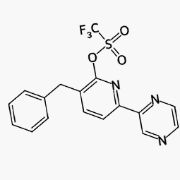 O=S(=O)(Oc1nc(-c2cnccn2)ccc1Cc1ccccc1)C(F)(F)F